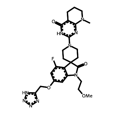 COCCN1C(=O)C2(CCN(c3nc4c(c(=O)[nH]3)CCCN4C)CC2)c2c(F)cc(OCc3nnn[nH]3)cc21